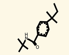 CCC(C)(C)c1ccc(C(=O)NC(C)(C)C)cc1